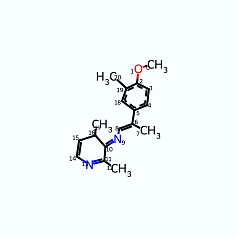 COc1ccc(/C(C)=C/N=C2/C(C)=NC=CC2C)cc1C